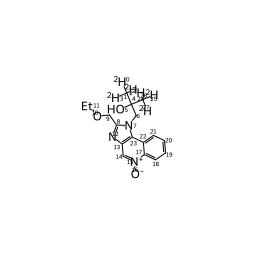 [2H]C([2H])([2H])C(O)(Cn1c(COCC)nc2c[n+]([O-])c3ccccc3c21)C([2H])([2H])[2H]